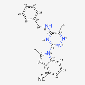 Cc1nnc(-n2c(C)cc3c(C#N)cccc32)nc1NCc1ccccc1